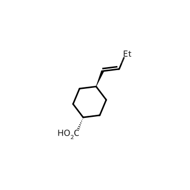 CCC=C[C@H]1CC[C@H](C(=O)O)CC1